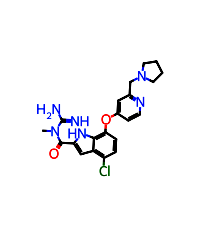 CN(C(=N)N)C(=O)c1cc2c(Cl)ccc(Oc3ccnc(CN4CCCC4)c3)c2[nH]1